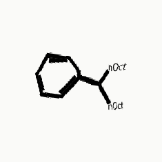 CCCCCCCC[C](CCCCCCCC)c1ccccc1